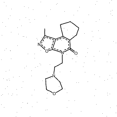 Cc1noc2c1c1c(c(=O)n2CCN2CCOCC2)CCCC1